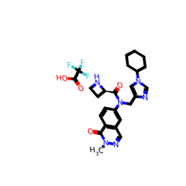 Cn1ncc2cc(N(Cc3cn(C4CCCCC4)cn3)C(=O)[C@H]3CCN3)ccc2c1=O.O=C(O)C(F)(F)F